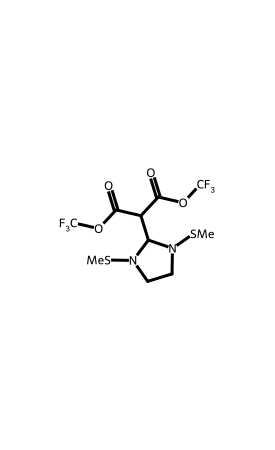 CSN1CCN(SC)C1C(C(=O)OC(F)(F)F)C(=O)OC(F)(F)F